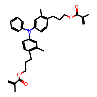 C=C(C)C(=O)OCCCc1ccc(N(c2ccccc2)c2ccc(CCCOC(=O)C(=C)C)c(C)c2)cc1C